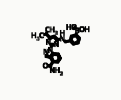 CC(C)c1cc(NCc2cccc(B(O)O)c2)nc(-n2ncc3c(C(N)=O)cccc32)n1